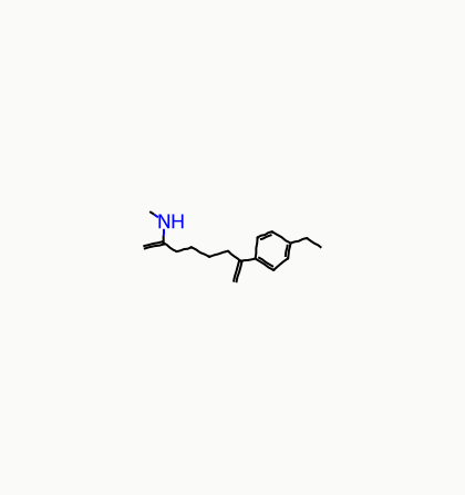 C=C(CCCCC(=C)c1ccc(CC)cc1)NC